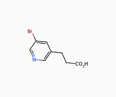 O=C(O)CCc1cncc(Br)c1